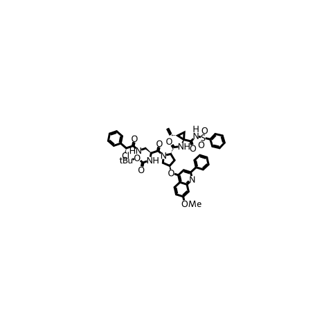 C=C[C@@H]1C[C@]1(NC(=O)[C@@H]1C[C@@H](Oc2cc(-c3ccccc3)nc3cc(OC)ccc23)CN1C(=O)[C@H](CNC(=O)[C@H](Cl)c1ccccc1)NC(=O)OC(C)(C)C)C(=O)NS(=O)(=O)c1ccccc1